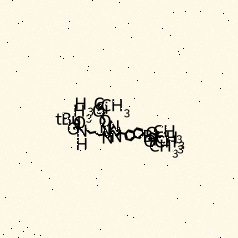 CC(C)(C)OC(=O)NCCCCc1nc2nc(-c3ccc4cc(B5OC(C)(C)C(C)(C)O5)ccc4c3)cnc2n1COCC[Si](C)(C)C